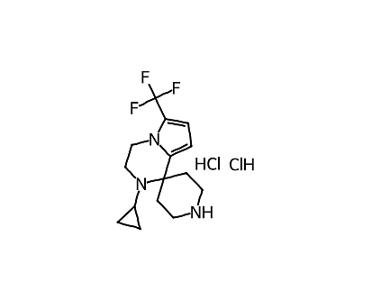 Cl.Cl.FC(F)(F)c1ccc2n1CCN(C1CC1)C21CCNCC1